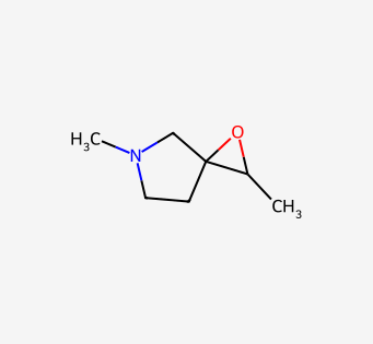 CC1OC12CCN(C)C2